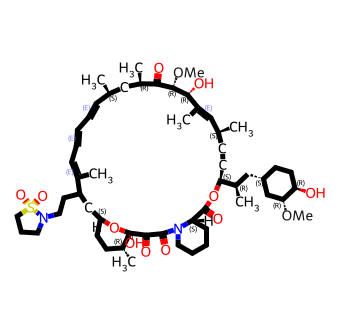 CO[C@@H]1C[C@H](C[C@@H](C)[C@@H]2CC[C@H](C)/C=C(\C)[C@@H](O)[C@@H](OC)C(=O)[C@H](C)C[C@H](C)/C=C/C=C/C=C(\C)C(CCN3CCCS3(=O)=O)C[C@@H]3CC[C@@H](C)[C@@](O)(O3)C(=O)C(=O)N3CCCC[C@H]3C(=O)O2)CC[C@H]1O